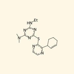 CCNc1nc(Sc2nccnc2C2C=CCCC2)nc(N(C)C)n1